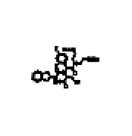 COCCN(CCOC)C(=O)C(c1ccc(F)cc1F)N1C(=O)C(C2Cc3ccccc3C2)NC(=O)C1CC(C)C